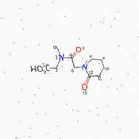 CN(CC(=O)O)C(=O)CN1CCCCC1=O